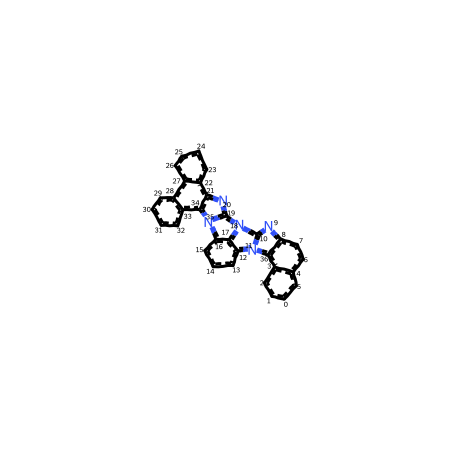 c1ccc2c(c1)ccc1nc3n(c4cccc5c4n3c3nc4c6ccccc6c6ccccc6c4n53)c12